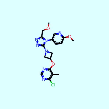 COCc1nnc(N2CC(Oc3ncnc(Cl)c3C)C2)n1-c1ccc(OC)nc1